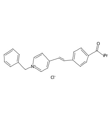 CC(C)C(=O)c1ccc(C=Cc2cc[n+](Cc3ccccc3)cc2)cc1.[Cl-]